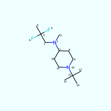 CN(CC(C)(F)F)C1CCN(C(C)(C)C)CC1